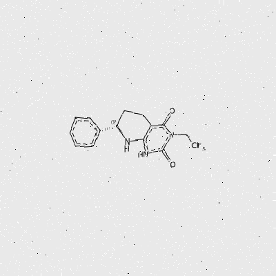 O=c1[nH]c2c(c(=O)n1CC(F)(F)F)CC[C@@H](c1ccccc1)N2